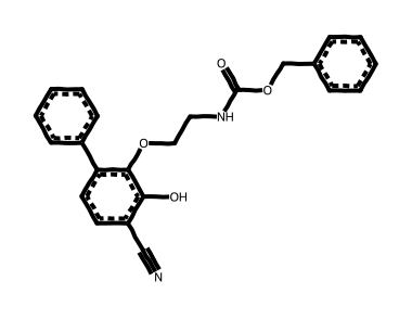 N#Cc1ccc(-c2ccccc2)c(OCCNC(=O)OCc2ccccc2)c1O